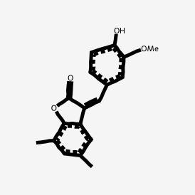 COc1cc(/C=C2\C(=O)Oc3c(C)cc(C)cc32)ccc1O